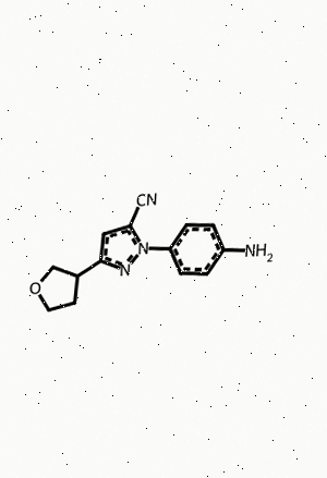 N#Cc1cc(C2CCOC2)nn1-c1ccc(N)cc1